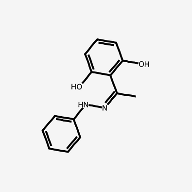 CC(=NNc1ccccc1)c1c(O)cccc1O